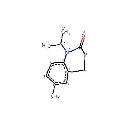 [CH2]c1ccc2c(c1)CCC(=O)N2C(C)C